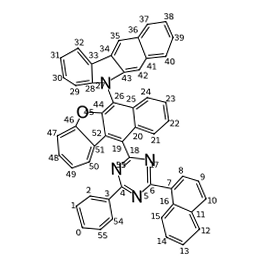 c1ccc(-c2nc(-c3cccc4ccccc34)nc(-c3c4ccccc4c(-n4c5ccccc5c5cc6ccccc6cc54)c4oc5ccccc5c34)n2)cc1